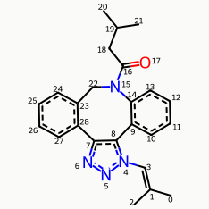 CC(C)=Cn1nnc2c1-c1ccccc1N(C(=O)CC(C)C)Cc1ccccc1-2